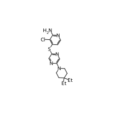 CCC1(CC)CCN(c2cnc(Sc3ccnc(N)c3Cl)cn2)CC1